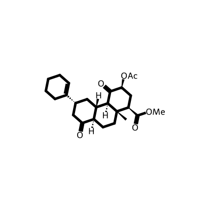 COC(=O)[C@@H]1C[C@H](OC(C)=O)C(=O)[C@@H]2[C@H]3C[C@@H](C4=CCCCC4)CC(=O)[C@@H]3CC[C@]21C